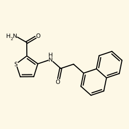 NC(=O)c1sccc1NC(=O)Cc1cccc2ccccc12